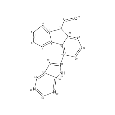 O=CC1c2ccccc2-c2c(-c3nc4cncnc4[nH]3)cccc21